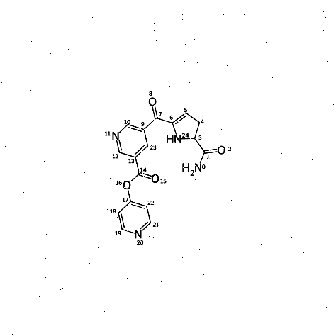 NC(=O)C1CC=C(C(=O)c2cncc(C(=O)Oc3ccncc3)c2)N1